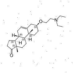 CCN(CC)CCO[C@H]1CC[C@@]2(C)C(=CC[C@@H]3[C@@H]2CC[C@]2(C)C(=O)CC[C@@H]32)C1